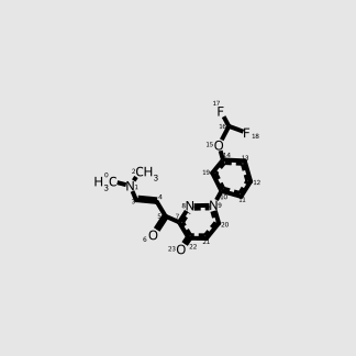 CN(C)C=CC(=O)c1nn(-c2cccc(OC(F)F)c2)ccc1=O